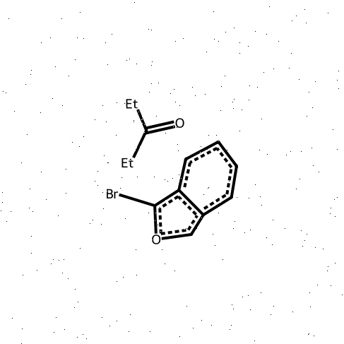 Brc1occ2ccccc12.CCC(=O)CC